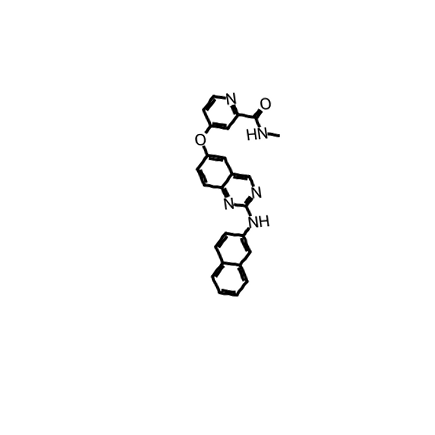 CNC(=O)c1cc(Oc2ccc3nc(Nc4ccc5ccccc5c4)ncc3c2)ccn1